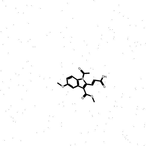 COC(=O)c1c(C=CC(=O)O)n(C(C)=O)c2ccc(OC)cc12